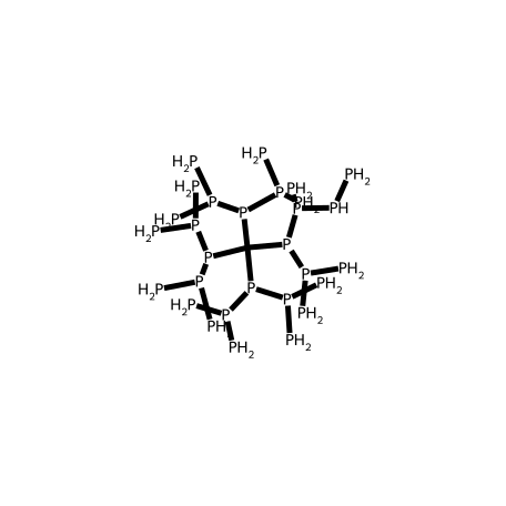 PPP(P)P(P(P)P)C(P(P(P)P)P(P)P)(P(P(P)P)P(P)P)P(P(P)P)P(P)P